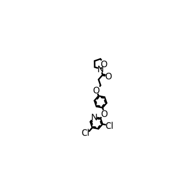 O=C(CCOc1ccc(Oc2ncc(Cl)cc2Cl)cc1)N1CCCO1